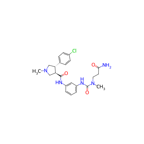 CN1C[C@H](C(=O)Nc2cccc(NC(=O)N(C)CCC(N)=O)c2)[C@@H](c2ccc(Cl)cc2)C1